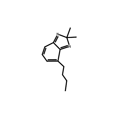 CCCCc1cccc2c1=NC(C)(C)N=2